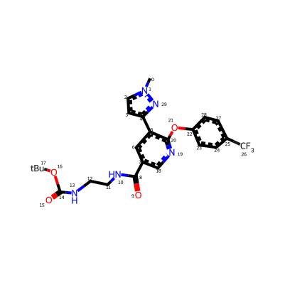 Cn1ccc(-c2cc(C(=O)NCCNC(=O)OC(C)(C)C)cnc2Oc2ccc(C(F)(F)F)cc2)n1